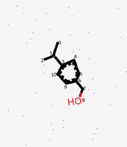 C[C](C)c1ccc(CO)cc1